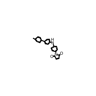 Cc1ccc(-c2ccc(Nc3ccc(N4C(=O)C=CC4=O)cc3)cc2)cc1